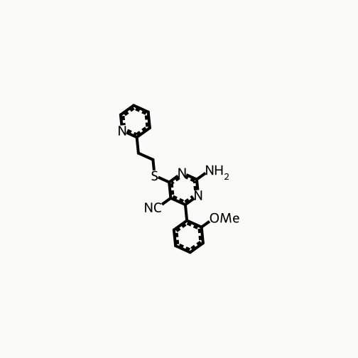 COc1ccccc1-c1nc(N)nc(SCCc2ccccn2)c1C#N